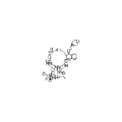 C=C[C@@H]1C[C@]1(NC(=O)[C@@H]1C[C@@H]2CN1C(=O)[C@H](C(C)(C)C)NC(=O)O[C@]1(C)C[C@H]1CCCCCc1c(nc3ccccc3c1OCCN1CCOCC1)O2)C(=O)NS(=O)(=O)C1(COC)CC1